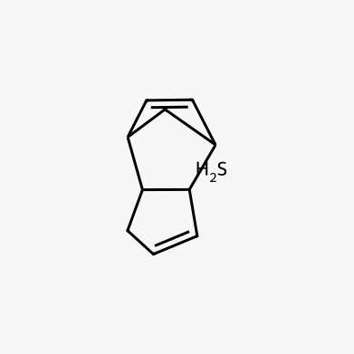 C1=CC2C3C=CC(C3)C2C1.S